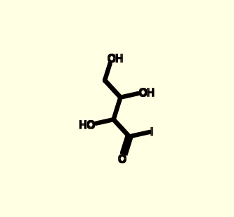 O=C(I)C(O)C(O)CO